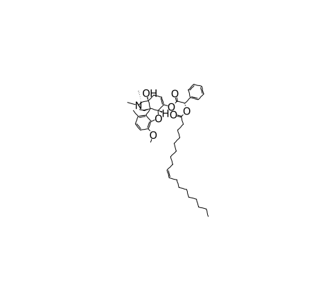 CCCCCCCC/C=C\CCCCCCCC(=O)O[C@H](C(=O)OC1=CC[C@@]2(O)[C@@H](C)N(C)CC[C@@]23c2c(C)ccc(OC)c2O[C@@H]13)c1ccccc1